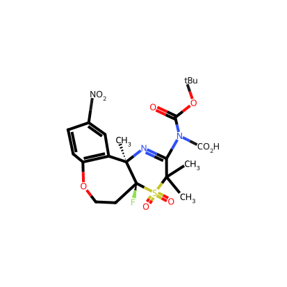 CC(C)(C)OC(=O)N(C(=O)O)C1=N[C@]2(C)c3cc([N+](=O)[O-])ccc3OCC[C@@]2(F)S(=O)(=O)C1(C)C